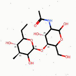 CCC1O[C@@H](O[C@@H]2C(CO)OC(O)C(NC(C)=O)[C@H]2O)C(O)[C@@H](C)[C@@H]1O